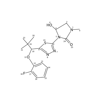 CN1CC(O)N(c2nnc(C(Oc3ccccc3F)C(C)(C)C)s2)C1=O